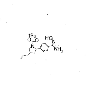 C=CCC1CC(c2ccc(/C(N)=N\O)cc2)N(C(=O)OC(C)(C)C)C1